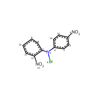 O=[N+]([O-])c1ccc(N(Br)c2ccccc2[N+](=O)[O-])cc1